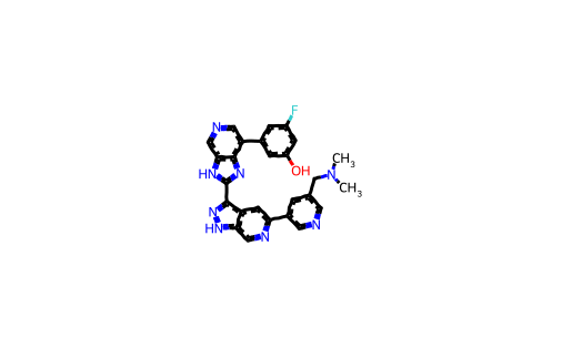 CN(C)Cc1cncc(-c2cc3c(-c4nc5c(-c6cc(O)cc(F)c6)cncc5[nH]4)n[nH]c3cn2)c1